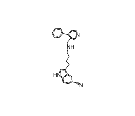 N#Cc1ccc2[nH]cc(CCCCNCc3cnccc3-c3ccccc3)c2c1